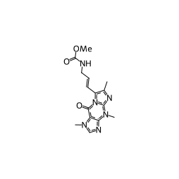 COC(=O)NC/C=C/c1c(C)nc2n(C)c3ncn(C)c3c(=O)n12